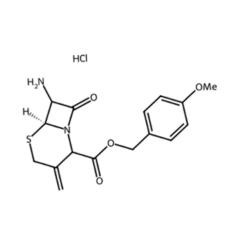 C=C1CS[C@H]2C(N)C(=O)N2C1C(=O)OCc1ccc(OC)cc1.Cl